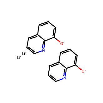 [Li+].[Li+].[O-]c1cccc2cccnc12.[O-]c1cccc2cccnc12